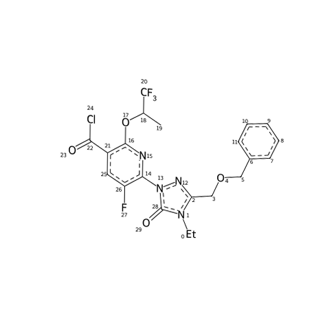 CCn1c(COCc2ccccc2)nn(-c2nc(OC(C)C(F)(F)F)c(C(=O)Cl)cc2F)c1=O